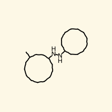 CC1CCCCCCCCCC(NNC2CCCCCCCCCCC2)CC1